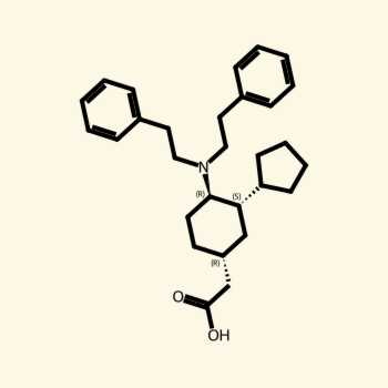 O=C(O)C[C@@H]1CC[C@@H](N(CCc2ccccc2)CCc2ccccc2)[C@H](C2CCCC2)C1